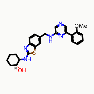 COc1ccccc1-c1cncc(NCc2ccc3nc(NC4CCCC[C@H]4O)sc3c2)n1